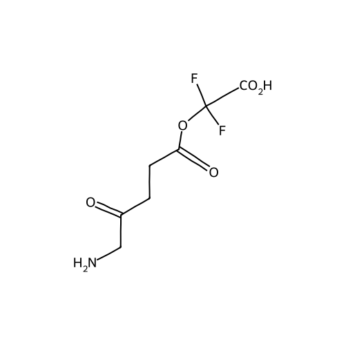 NCC(=O)CCC(=O)OC(F)(F)C(=O)O